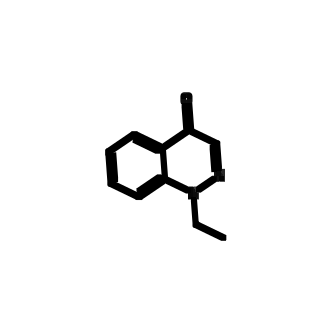 CCn1ncc(=O)c2ccccc21